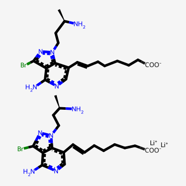 C[C@@H](N)CCn1nc(Br)c2c(N)ncc(/C=C/CCCCCC(=O)[O-])c21.C[C@@H](N)CCn1nc(Br)c2c(N)ncc(/C=C/CCCCCC(=O)[O-])c21.[Li+].[Li+]